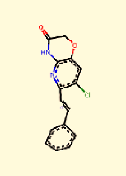 O=C1COc2cc(Cl)c(/C=C/c3ccccc3)nc2N1